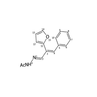 CC(=O)NN=CC(=Cc1ccccc1)c1ccco1